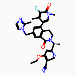 CCOc1cc([C@H](C)N2CCc3c(cc(Cn4ccnc4C)cc3-c3cn(C)c(=O)c(F)c3C)C2=O)ncc1C#N